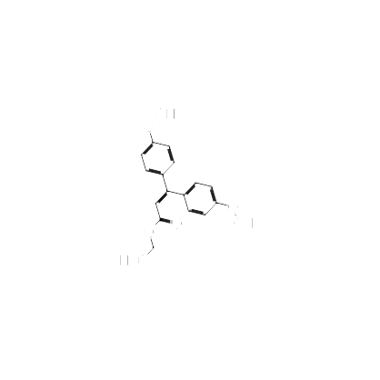 CCOC(=O)C=C(c1ccc(OC)cc1)c1ccc(OC)cc1